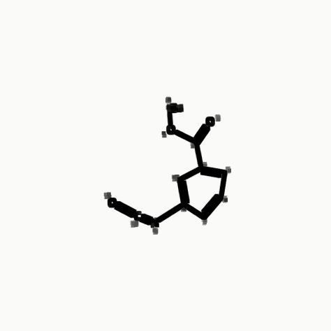 CC(C)(C)OC(=O)c1cccc(N=C=O)c1